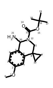 COc1ccc2c(c1)C1(CC1)CN(C(=O)OC(C)(C)C)C2N